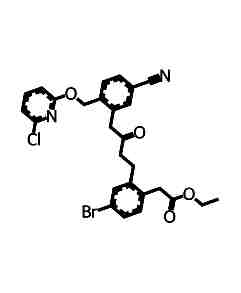 CCOC(=O)Cc1ccc(Br)cc1CCC(=O)Cc1cc(C#N)ccc1COc1cccc(Cl)n1